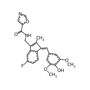 COc1cc(/C=C2/C(C)=C(CNC(=O)c3cnco3)c3cc(F)ccc32)cc(OC)c1O